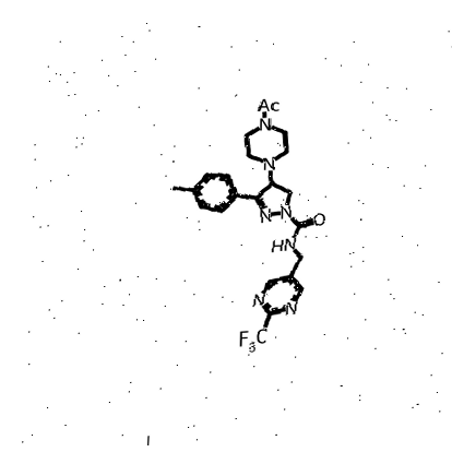 CC(=O)N1CCN(C2CN(C(=O)NCc3cnc(C(F)(F)F)nc3)N=C2c2ccc(C)cc2)CC1